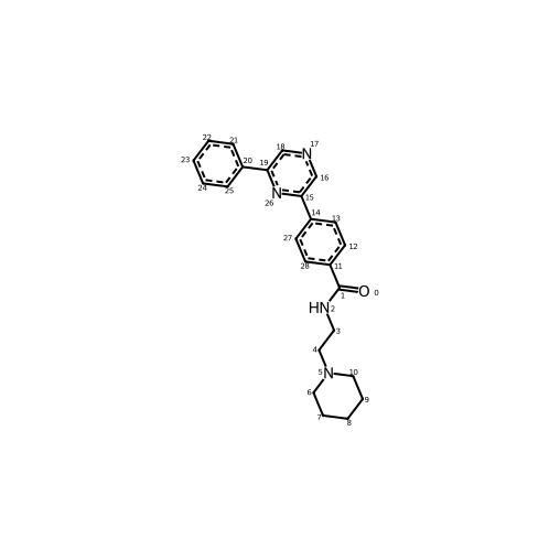 O=C(NCCN1CCCCC1)c1ccc(-c2cncc(-c3ccccc3)n2)cc1